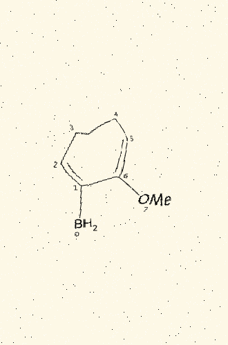 BC1=CCCC=C1OC